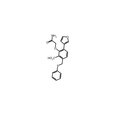 NC(=O)COc1c(-c2ccoc2)ccc(CSc2ccccc2)c1C(=O)O